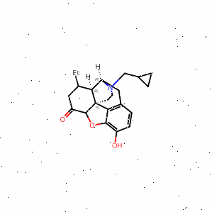 CCC1CC(=O)C2Oc3c(O)ccc4c3[C@@]23CCN(CC2CC2)[C@H](C4)[C@H]13